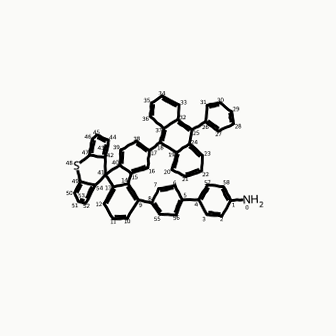 Nc1ccc(-c2ccc(-c3cccc4c3-c3cc(-c5c6ccccc6c(-c6ccccc6)c6ccccc56)ccc3C43c4ccccc4Sc4ccccc43)cc2)cc1